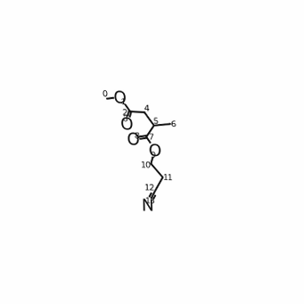 COC(=O)CC(C)C(=O)OCCC#N